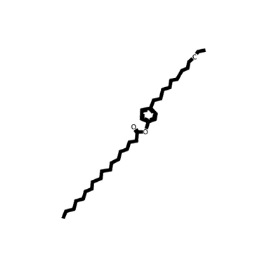 CCCCCCCCCCCCCCCCCC(=O)Oc1ccc(CCCCCCCCCCCC)cc1